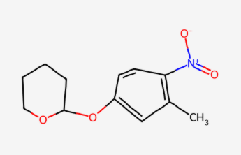 Cc1cc(OC2CCCCO2)ccc1[N+](=O)[O-]